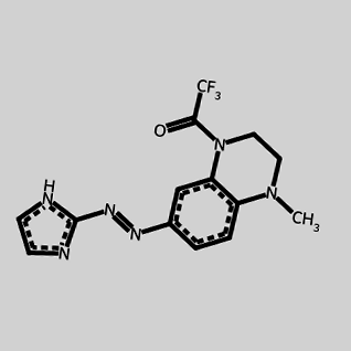 CN1CCN(C(=O)C(F)(F)F)c2cc(N=Nc3ncc[nH]3)ccc21